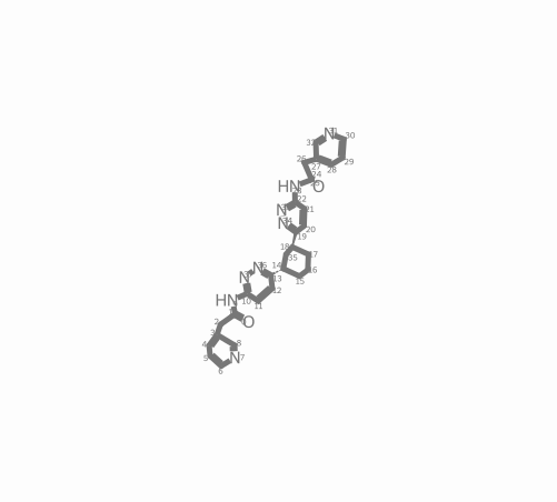 O=C(Cc1cccnc1)Nc1ccc([C@H]2CCC[C@H](c3ccc(NC(=O)Cc4cccnc4)nn3)C2)nn1